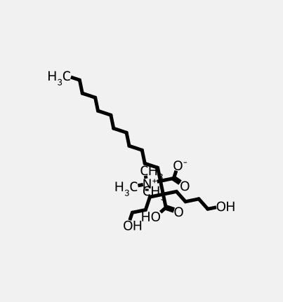 CCCCCCCCCCCCC(C(=O)[O-])(C(CCCO)(CCCCO)C(=O)O)[N+](C)(C)C